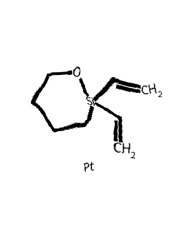 C=C[Si]1(C=C)CCCCO1.[Pt]